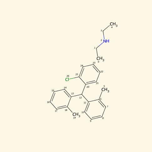 CCNCC.Cc1ccccc1C(c1ccccc1C)c1ccccc1Cl